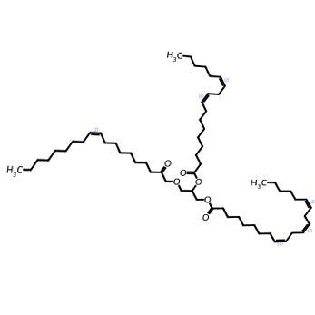 CCCCC/C=C\C/C=C\C/C=C\CCCCCCCC(=O)OCC(COCC(=O)CCCCCCC/C=C\CCCCCCCC)OC(=O)CCCCCCC/C=C\C/C=C\CCCCC